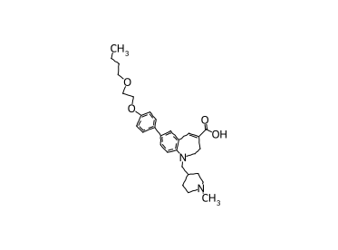 CCCCOCCOc1ccc(-c2ccc3c(c2)C=C(C(=O)O)CCN3CC2CCN(C)CC2)cc1